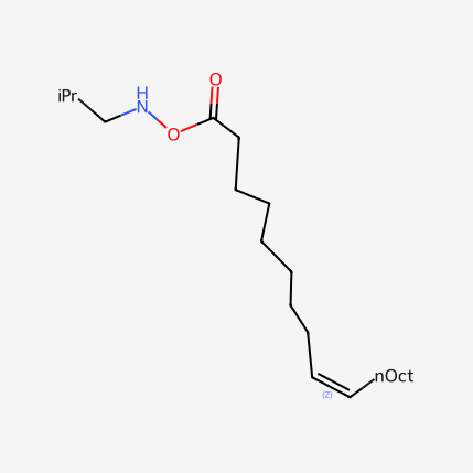 CCCCCCCC/C=C\CCCCCCCC(=O)ONCC(C)C